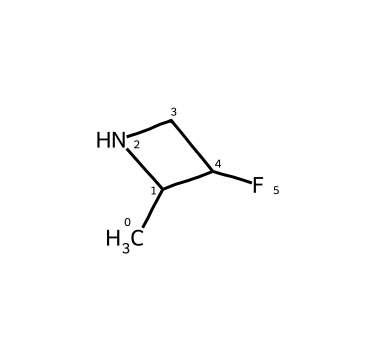 CC1NCC1F